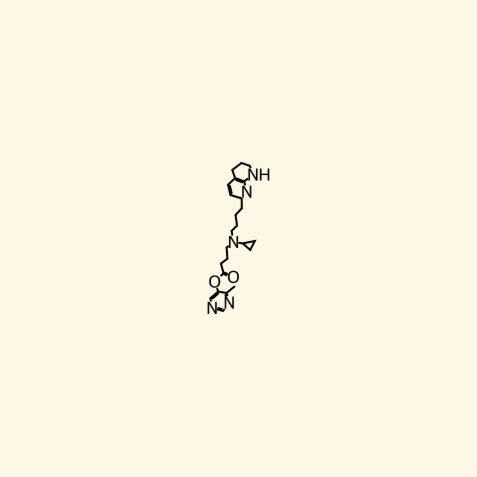 Cc1ncncc1OC(=O)CCCN(CCCCc1ccc2c(n1)NCCC2)C1CC1